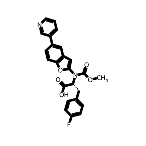 COC(=O)N(c1cc2cc(-c3cccnc3)ccc2o1)[C@H](Cc1ccc(F)cc1)C(=O)O